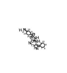 N#Cc1cnn(-c2ccccc2)c1NC(=O)NS(=O)(=O)c1ccc(N)cc1